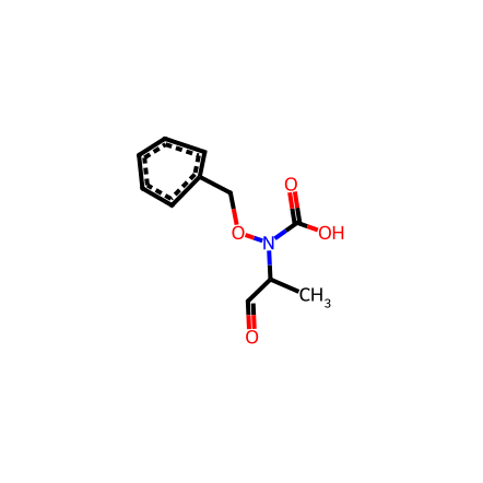 CC(C=O)N(OCc1ccccc1)C(=O)O